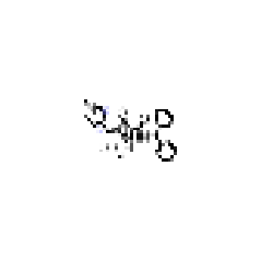 C=N/C=C\C(=C/C)C[C@H]1C(=O)N(C(=O)NC(c2ccccc2)c2ccccc2)[C@@H]1C(=O)O